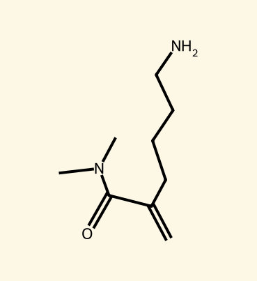 C=C(CCCCN)C(=O)N(C)C